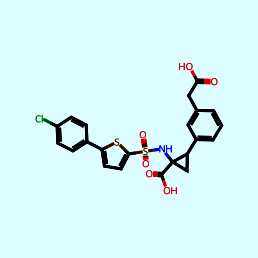 O=C(O)Cc1cccc(C2CC2(NS(=O)(=O)c2ccc(-c3ccc(Cl)cc3)s2)C(=O)O)c1